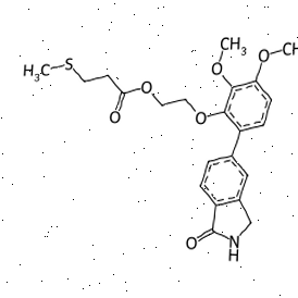 COc1ccc(-c2ccc3c(c2)CNC3=O)c(OCCOC(=O)CCSC)c1OC